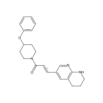 O=C(/C=C/c1cnc2c(c1)CCCN2)N1CCC(Oc2ccccc2)CC1